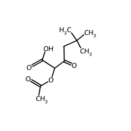 CC(=O)OC(C(=O)O)C(=O)CC(C)(C)C